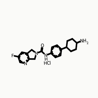 Cl.NC1CCC(c2ccc(NC(=O)N3Cc4cc(F)cnc4C3)cc2)CC1